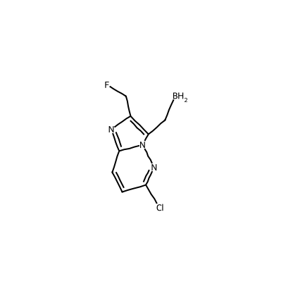 BCc1c(CF)nc2ccc(Cl)nn12